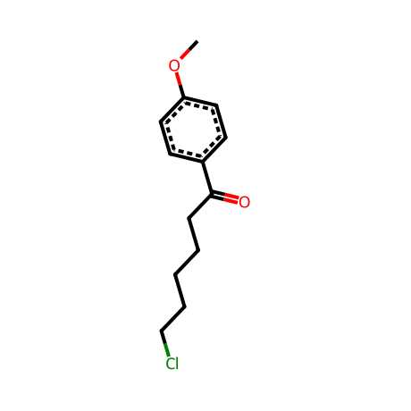 COc1ccc(C(=O)CCCCCCl)cc1